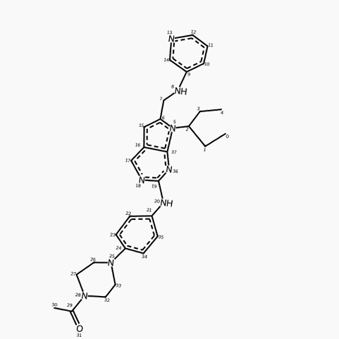 CCC(CC)n1c(CNc2cccnc2)cc2cnc(Nc3ccc(N4CCN(C(C)=O)CC4)cc3)nc21